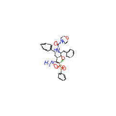 NC(=C(F)S(=O)(=O)c1ccccc1)C(CCc1ccccc1)C(=O)C(Cc1ccccc1)NC(=O)N1CCOCC1